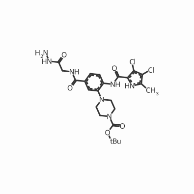 Cc1[nH]c(C(=O)Nc2ccc(C(=O)NCC(=O)NN)cc2N2CCN(C(=O)OC(C)(C)C)CC2)c(Cl)c1Cl